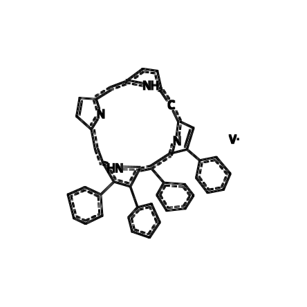 C1=Cc2cc3[nH]c(c(-c4ccccc4)c4nc(cc5ccc(cc1n2)[nH]5)C=C4c1ccccc1)c(-c1ccccc1)c3-c1ccccc1.[V]